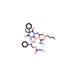 CCCCOCC(CN1C(=O)NC(=O)C(CC)(c2ccccc2)C1=O)OC(N)=O.NC(=O)OCC(O)c1ccccc1